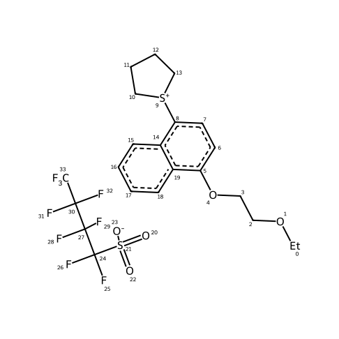 CCOCCOc1ccc([S+]2CCCC2)c2ccccc12.O=S(=O)([O-])C(F)(F)C(F)(F)C(F)(F)C(F)(F)F